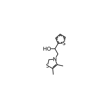 CC1=C(C)N(CC(O)c2cccs2)CS1